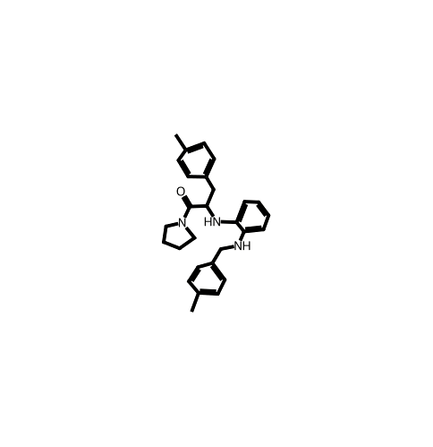 Cc1ccc(CNc2ccccc2NC(Cc2ccc(C)cc2)C(=O)N2CCCC2)cc1